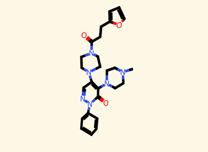 CN1CCN(c2c(N3CCN(C(=O)CCc4ccco4)CC3)cnn(-c3ccccc3)c2=O)CC1